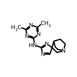 Cc1nc(C)nc(NC2=NC3(C=N2)CN2CCC3CC2)n1